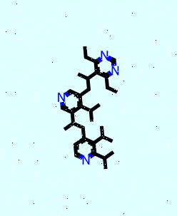 CCc1ncnc(CC)c1C(C)Cc1cncc(C(C)Cc2ccnc(C(C)C)c2C(C)C)c1C(C)C